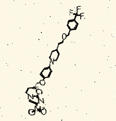 O=[N+]([O-])c1cn2c(n1)O[C@@H](COc1ccc(N3CCC(CCOCc4ccc(C(F)(F)F)cc4)CC3)cc1)CC2